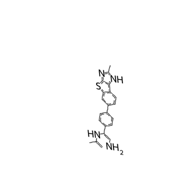 C=C(C)N/C(=C\N)c1ccc(-c2ccc3c(c2)sc2nc(C)[nH]c23)cc1